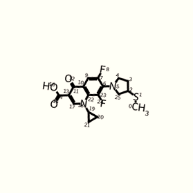 CSC1CCN(c2c(F)cc3c(=O)c(C(=O)O)cn(C4CC4)c3c2F)C1